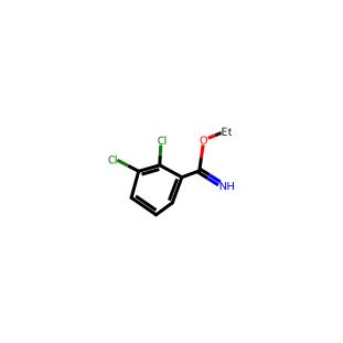 CCOC(=N)c1cccc(Cl)c1Cl